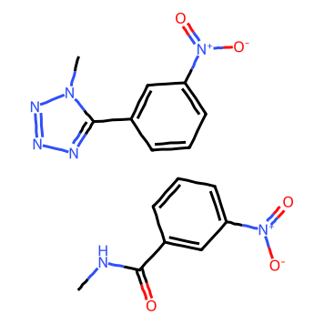 CNC(=O)c1cccc([N+](=O)[O-])c1.Cn1nnnc1-c1cccc([N+](=O)[O-])c1